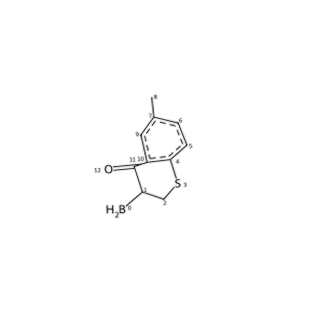 BC1CSc2ccc(C)cc2C1=O